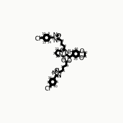 O=C(CCCc1nc(-c2ccc(Cl)cc2)no1)N[C@H](CN1CCCC1)[C@H](OC(=O)CCCc1nc(-c2ccc(Cl)cc2)no1)c1ccc2c(c1)OCCO2